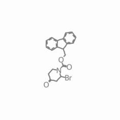 O=C1CCN(C(=O)OCC2c3ccccc3-c3ccccc32)C(Br)C1